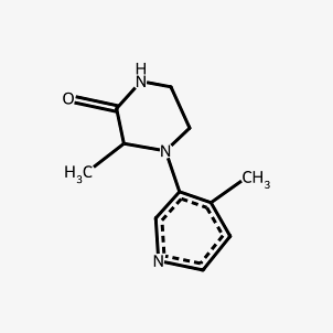 Cc1ccncc1N1CCNC(=O)C1C